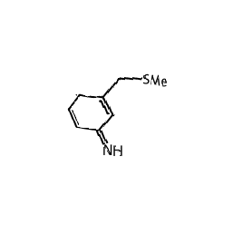 CSCC1=CC(=N)C=C[CH]1